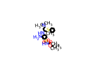 Cc1cc(S(=O)(=O)NC(=O)OC(C)(C)C)cc(N)c1NC(CCN(C)C)CSc1ccccc1